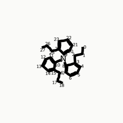 CCCc1ccccc1N(c1ccccc1CCC)c1ccccc1CCC